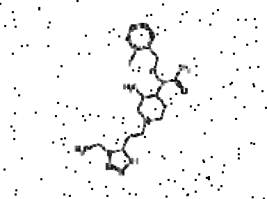 CCN1N=NNC1CCN1CCC(N(OCc2ccccc2F)C(C)=O)C(C)C1